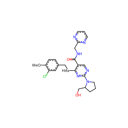 COc1ccc(C[AsH]c2nc(N3CCCC3CO)ncc2C(=O)NCc2ncccn2)cc1Cl